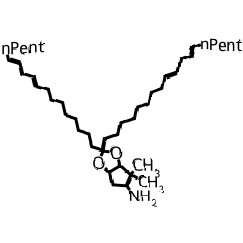 CCCCCC=CCC=CCCCCCCCCC1(CCCCCCCCC=CCC=CCCCCC)OC2CC(N)C(C)(C)C2O1